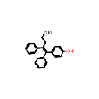 O=CCC/C(=C(/c1ccccc1)c1ccc(O)cc1)c1ccccc1